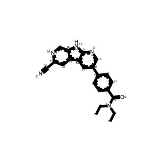 CCN(CC)C(=O)c1ccc(-c2cnc3[nH]c4cnc(C#N)cc4c3c2)cc1